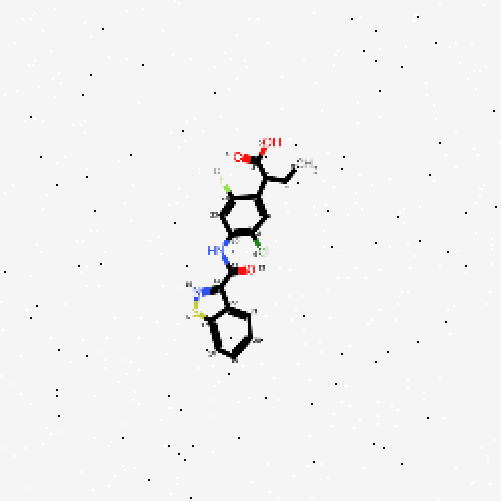 CCC(C(=O)O)c1cc(Cl)c(NC(=O)c2nsc3ccccc23)cc1F